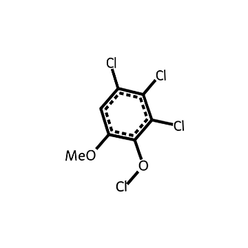 COc1cc(Cl)c(Cl)c(Cl)c1OCl